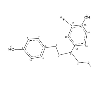 CCCC(CCc1ccc(O)cc1)c1ccc(O)c(F)c1